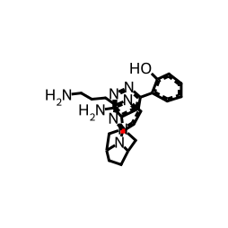 NCCCc1nccc(N2C3CCC2CN(c2cc(-c4ccccc4O)nnc2N)C3)n1